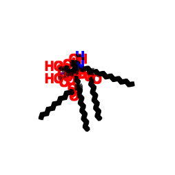 CCCCCCCCCCC[C@H](CC(=O)N[C@@H]1[C@@H](OC(=O)C[C@@H](CCCCCCCCCCC)OC(=O)CCCCCCCCCC)[C@H](OP(=O)(O)O)[C@@H](CO)O[C@H]1O)OC(=O)CCCCCCCCCC